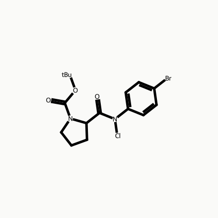 CC(C)(C)OC(=O)N1CCCC1C(=O)N(Cl)c1ccc(Br)cc1